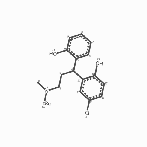 CN(CCC(c1ccccc1O)c1cc(Cl)ccc1O)C(C)(C)C